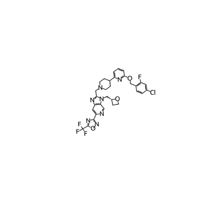 Fc1cc(Cl)ccc1COc1cccc(C2CCN(Cc3nc4cc(-c5noc(C(F)(F)F)n5)ncc4n3C[C@@H]3CCO3)CC2)n1